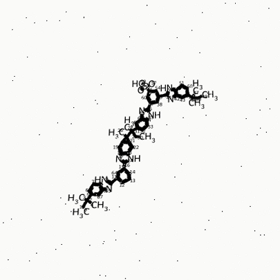 CCC(C)(C)c1ccc2[nH]c(-c3cccc(-c4nc5cc6c(cc5[nH]4)C6(C)C(C)(CC)c4ccc5[nH]c(-c6cc(-c7nc8cc(C(C)(C)CC)ccc8[nH]7)cc(S(=O)(=O)O)c6)nc5c4)c3)nc2c1